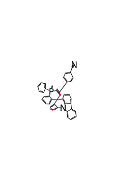 C=P1(c2ccccc2)c2ccccc2C2(c3ccccc3-n3c4ccccc4c4cccc2c43)c2ccc(-c3ccc(C#N)cc3)cc21